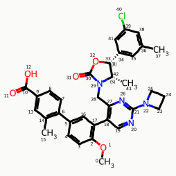 COc1ccc(-c2ccc(C(=O)O)cc2C)cc1-c1cnc(N2CCC2)nc1CN1C(=O)O[C@H](c2cc(C)cc(Cl)c2)[C@@H]1C